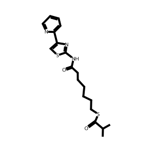 CC(C)C(=O)SCCCCCCC(=O)Nc1nc(-c2ccccn2)cs1